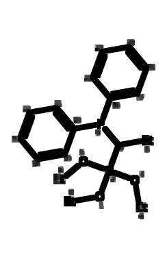 CCO[Si](OCC)(OCC)C(CC)P(c1ccccc1)c1ccccc1